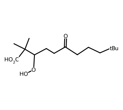 CC(C)(C)CCCC(=O)CCC(OO)C(C)(C)C(=O)O